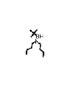 CCCCN(BC(C)(C)C)CCCC